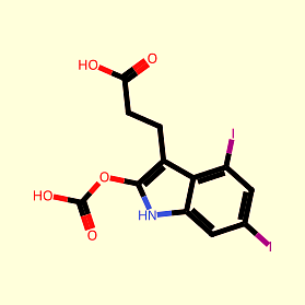 O=C(O)CCc1c(OC(=O)O)[nH]c2cc(I)cc(I)c12